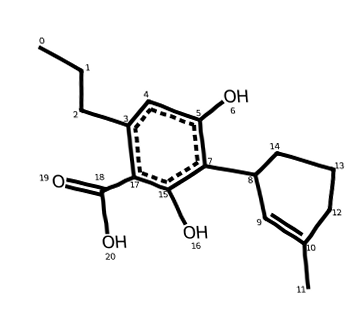 CCCc1cc(O)c(C2C=C(C)CCC2)c(O)c1C(=O)O